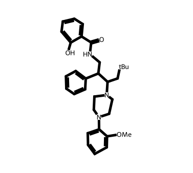 COc1ccccc1N1CCN(C(CC(C)(C)C)C(CNC(=O)c2ccccc2O)c2ccccc2)CC1